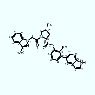 CC(=O)c1nn(CC(=O)N2C[C@H](F)C[C@H]2C(=O)Nc2cccc(-c3ccc4[nH]ccc4c3)c2F)c2ccccc12